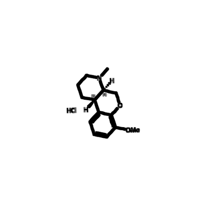 COc1cccc2c1OC[C@H]1[C@H]2CCCN1C.Cl